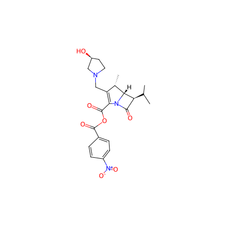 CC(C)[C@H]1C(=O)N2C(C(=O)OC(=O)c3ccc([N+](=O)[O-])cc3)=C(CN3CC[C@H](O)C3)[C@H](C)[C@H]12